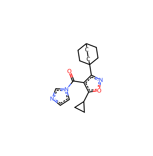 O=C(c1c(C23CCC(CC2)CC3)noc1C1CC1)n1ccnc1